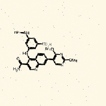 CCCNc1cc(Nc2c(C(N)=O)cnc3cc(-c4cnc(OC)nc4OC)ccc23)cc(C(=O)O)c1